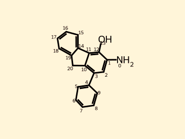 Nc1cc(-c2ccccc2)c2c(c1O)-c1ccccc1C2